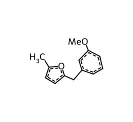 COc1cccc(Cc2ccc(C)o2)c1